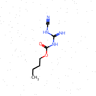 CCCCOC(=O)NC(=N)NC#N